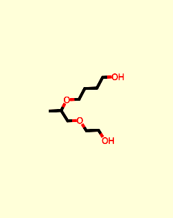 CC(COCCO)OCCCCO